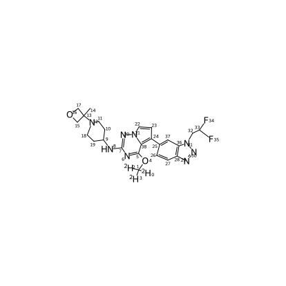 [2H]C([2H])([2H])Oc1nc(NC2CCN(C3(C)COC3)CC2)nn2ccc(-c3ccc4nnn(CC(F)F)c4c3)c12